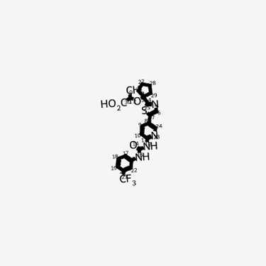 CC(OC1(c2ncc(-c3ccc(NC(=O)Nc4cccc(C(F)(F)F)c4)nc3)s2)CCCC1)C(=O)O